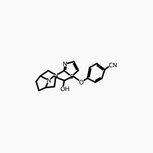 N#Cc1ccc(OCC(O)CN2C3CCC2CN(c2nccs2)C3)cc1